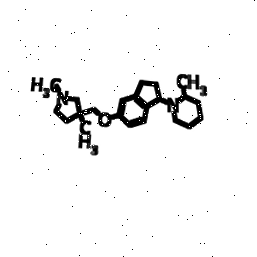 CC1CCCCN1C1CCc2cc(OCC3(C)CCN(C)C3)ccc21